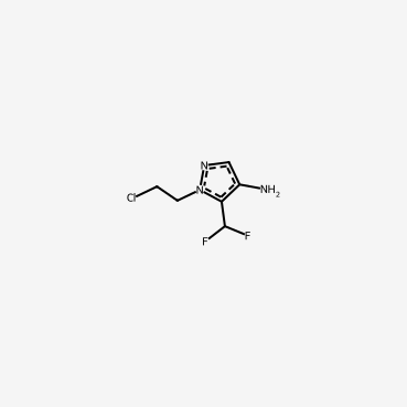 Nc1cnn(CCCl)c1C(F)F